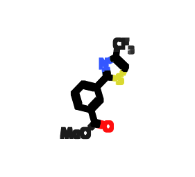 COC(=O)c1cccc(-c2nc(C(F)(F)F)cs2)c1